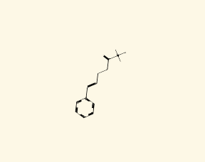 O=C(CCC=Cc1ccccc1)C(F)(F)F